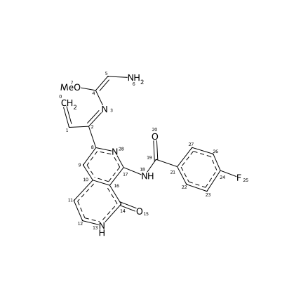 C=C/C(=N\C(=C/N)OC)c1cc2cc[nH]c(=O)c2c(NC(=O)c2ccc(F)cc2)n1